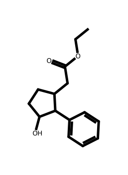 CCOC(=O)CC1CCC(O)C1c1ccccc1